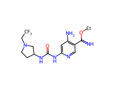 CCOC(=N)c1cnc(NC(=O)NC2CCN(CC(F)(F)F)C2)cc1N